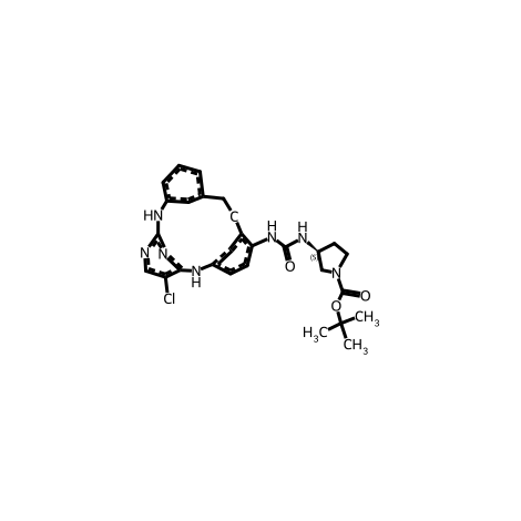 CC(C)(C)OC(=O)N1CC[C@H](NC(=O)Nc2ccc3cc2CCc2cccc(c2)Nc2ncc(Cl)c(n2)N3)C1